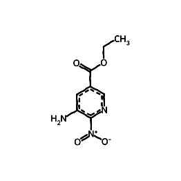 CCOC(=O)c1cnc([N+](=O)[O-])c(N)c1